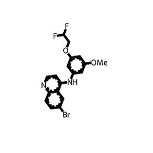 COc1cc(Nc2ccnc3ccc(Br)cc23)cc(OCC(F)F)c1